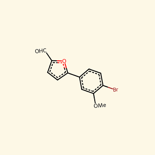 COc1cc(-c2ccc(C=O)o2)ccc1Br